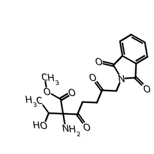 COC(=O)C(N)(C(=O)CCC(=O)CN1C(=O)c2ccccc2C1=O)C(C)O